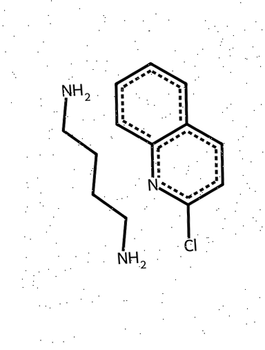 Clc1ccc2ccccc2n1.NCCCCN